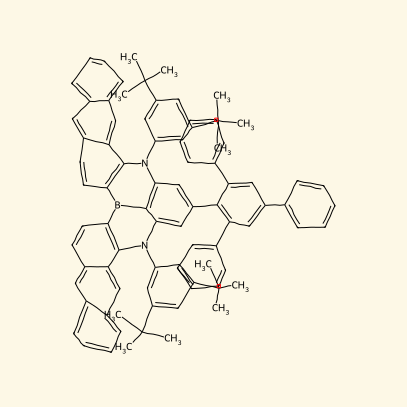 CC(C)(C)c1cc(N2c3cc(-c4c(-c5ccccc5)cc(-c5ccccc5)cc4-c4ccccc4)cc4c3B(c3ccc5cc6ccccc6cc5c32)c2ccc3cc5ccccc5cc3c2N4c2cc(C(C)(C)C)cc(C(C)(C)C)c2)cc(C(C)(C)C)c1